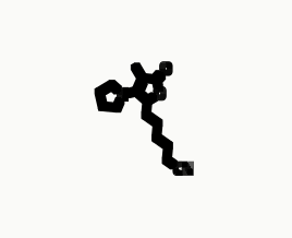 CC1=C(N2CCCC2)C(CCCCCC#N)OC1=O